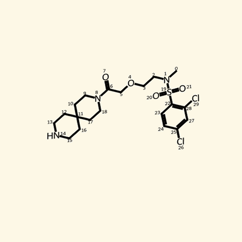 CN(CCOCC(=O)N1CCC2(CCNCC2)CC1)S(=O)(=O)c1ccc(Cl)cc1Cl